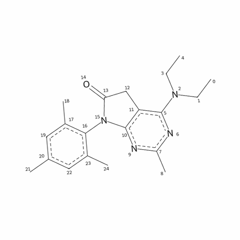 CCN(CC)c1nc(C)nc2c1CC(=O)N2c1c(C)cc(C)cc1C